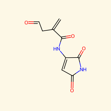 C=C(CC=O)C(=O)NC1=CC(=O)NC1=O